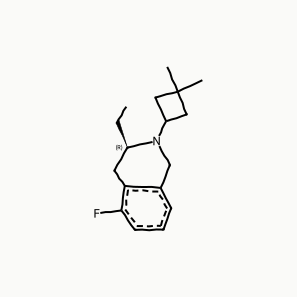 CC[C@@H]1Cc2c(F)cccc2CN1C1CC(C)(C)C1